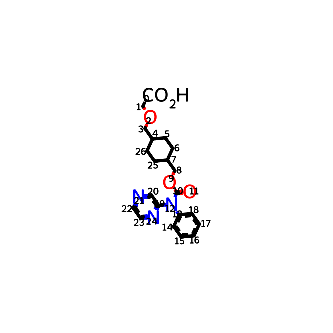 O=C(O)COCC1CCC(COC(=O)N(c2ccccc2)c2cnccn2)CC1